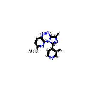 COc1ccc2nnc3c(C)nc(-c4ccncc4C)n3c2n1